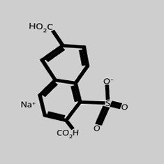 O=C(O)c1ccc2c(S(=O)(=O)[O-])c(C(=O)O)ccc2c1.[Na+]